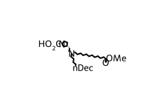 CCCCCCCCCCCCCCN(CCCCCCCCCCCC(=O)OC)CC[C@H]1CCN(C(=O)O)C1